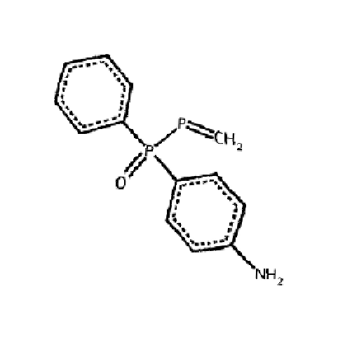 C=PP(=O)(c1ccccc1)c1ccc(N)cc1